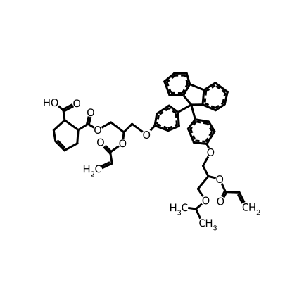 C=CC(=O)OC(COC(=O)C1CC=CCC1C(=O)O)COc1ccc(C2(c3ccc(OCC(COC(C)C)OC(=O)C=C)cc3)c3ccccc3-c3ccccc32)cc1